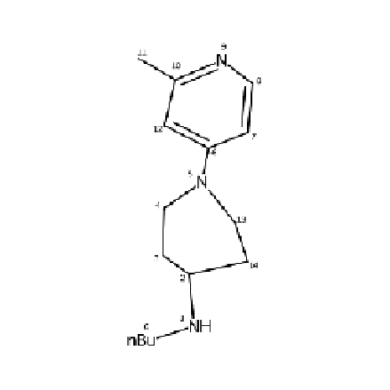 CCCCNC1CCN(c2ccnc(C)c2)CC1